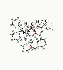 CC(C)(C)c1cc(-c2cccc3cccc(-c4ccccc4N(c4ccccc4)c4cccc5c4oc4ccccc45)c23)cc(C(C)(C)C)c1